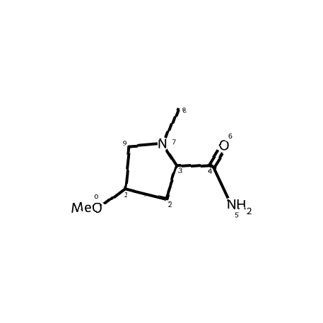 COC1CC(C(N)=O)N(C)C1